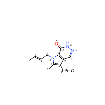 CC=CCn1c(C)c(CCCCC)c2cn[nH]c(=O)c21